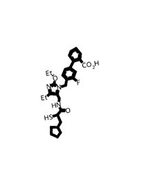 CCOc1nc(CC)c(CNC(=O)C(S)CC2CCCC2)n1Cc1ccc(-c2ccccc2C(=O)O)cc1F